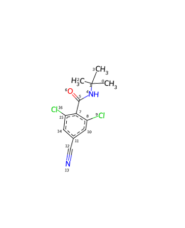 CC(C)(C)NC(=O)c1c(Cl)cc(C#N)cc1Cl